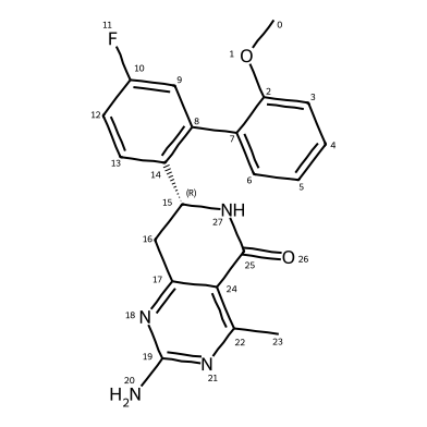 COc1ccccc1-c1cc(F)ccc1[C@H]1Cc2nc(N)nc(C)c2C(=O)N1